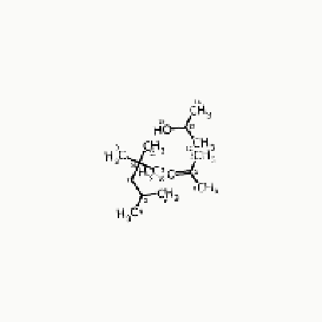 CC(C)=O.CC(C)CC(C)(C)C.CC(C)O